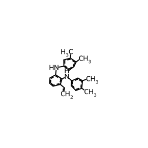 C=Cc1cccc(Nc2ccc(C)c(C)c2)c1Nc1ccc(C)c(C)c1